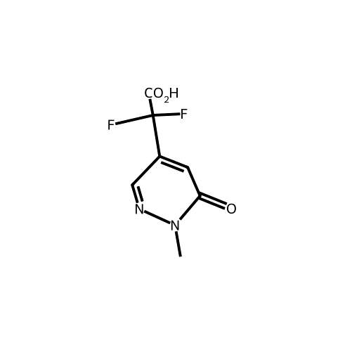 Cn1ncc(C(F)(F)C(=O)O)cc1=O